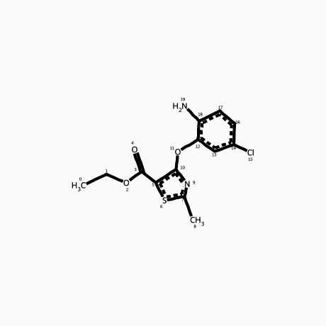 CCOC(=O)c1sc(C)nc1Oc1cc(Cl)ccc1N